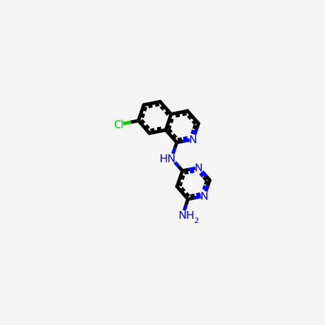 Nc1cc(Nc2nccc3ccc(Cl)cc23)ncn1